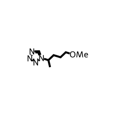 COCCCC(C)n1cnnn1